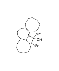 CCCC(O)(CC(C)C)N1/C2=C(/CCCCCCC2)CCCC2CCCCCCCC21